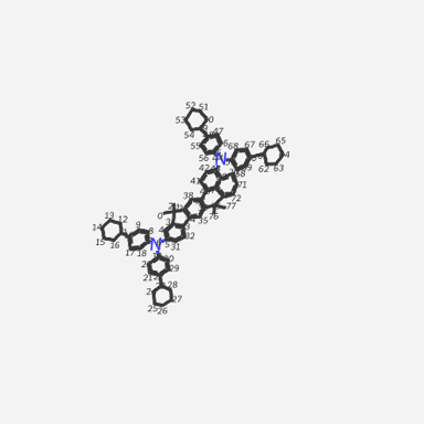 CC1(C)c2cc(N(c3ccc(C4CCCCC4)cc3)c3ccc(C4CCCCC4)cc3)ccc2-c2cc3c(cc21)-c1ccc(N(c2ccc(C4CCCCC4)cc2)c2ccc(C4CCCCC4)cc2)c2cccc(c12)C3(C)C